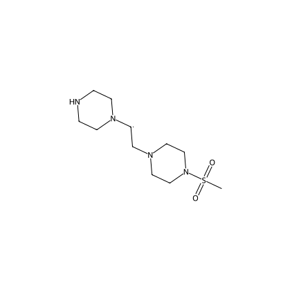 CS(=O)(=O)N1CCN(C[CH]N2CCNCC2)CC1